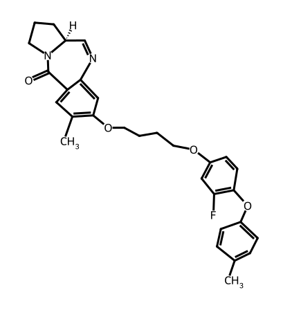 Cc1ccc(Oc2ccc(OCCCCOc3cc4c(cc3C)C(=O)N3CCC[C@H]3C=N4)cc2F)cc1